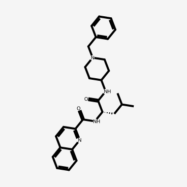 CC(C)C[C@H](NC(=O)c1ccc2ccccc2n1)C(=O)NC1CCN(Cc2ccccc2)CC1